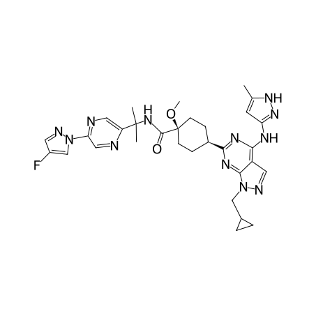 CO[C@]1(C(=O)NC(C)(C)c2cnc(-n3cc(F)cn3)cn2)CC[C@H](c2nc(Nc3cc(C)[nH]n3)c3cnn(CC4CC4)c3n2)CC1